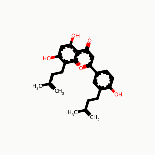 C=C(C)CCc1cc(-c2cc(=O)c3c(O)cc(O)c(CCC(=C)C)c3o2)ccc1O